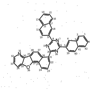 c1ccc2cc(-c3nc(-c4ccc5ccccc5c4)nc(-c4cccc5c4ccc4c6ncccc6oc54)n3)ccc2c1